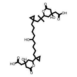 CC(C)(CC1(CCCCC(O)CCCCC2(C3CC(O)(CC(=O)O)CC(=O)O3)CC2)CC1)C1CC(O)(CC(=O)O)CC(=O)O1